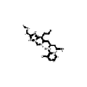 CCCc1c(CC(CC=N)Nc2ncccc2Cl)ncn2nc(COC)nc12